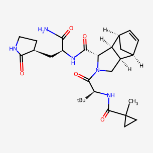 CC1(C(=O)N[C@H](C(=O)N2C[C@H]3[C@@H]([C@H]2C(=O)N[C@@H](C[C@@H]2CCNC2=O)C(N)=O)[C@H]2C=C[C@@H]3C2)C(C)(C)C)CC1